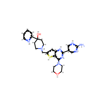 Nc1ncc(-c2nc(N3CCOCC3)c3sc(CN4CCC(O)(c5ccccn5)CC4)cc3n2)cn1